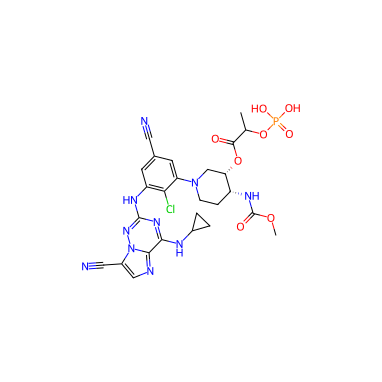 COC(=O)N[C@@H]1CCN(c2cc(C#N)cc(Nc3nc(NC4CC4)c4ncc(C#N)n4n3)c2Cl)C[C@@H]1OC(=O)C(C)OP(=O)(O)O